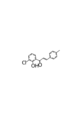 Cc1ccc(C=CC(=O)c2cccc(Cl)c2O)cc1